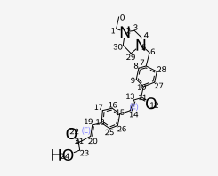 CCN1CCN(Cc2ccc(C(=O)/C=C/c3ccc(/C=C/C(=O)CO)cc3)cc2)CC1